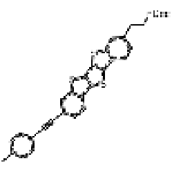 CCCCCCCCCCCCc1ccc2c(c1)sc1c2sc2c3ccc(C#Cc4ccc(C)cc4)cc3sc21